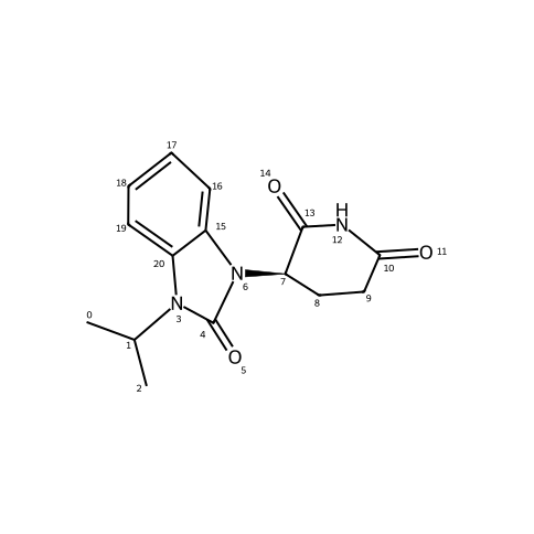 CC(C)n1c(=O)n([C@@H]2CCC(=O)NC2=O)c2ccccc21